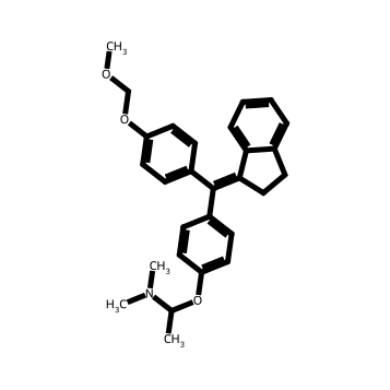 COCOc1ccc(C(=C2CCc3ccccc32)c2ccc(OC(C)N(C)C)cc2)cc1